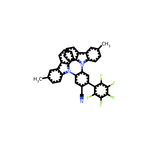 Cc1ccc2c(c1)c1ccccc1n2-c1cc(C#N)c(-c2c(F)c(F)c(F)c(F)c2F)cc1-n1c2ccccc2c2cc(C)ccc21